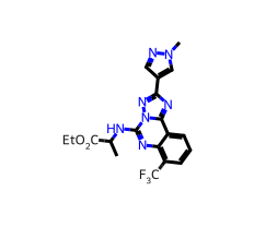 CCOC(=O)C(C)Nc1nc2c(C(F)(F)F)cccc2c2nc(-c3cnn(C)c3)nn12